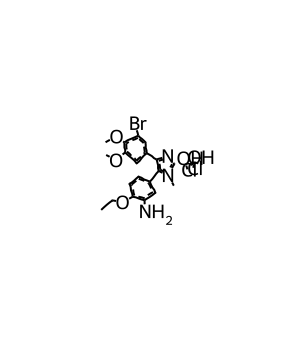 CCOc1ccc(-c2c(-c3cc(Br)c(OC)c(OC)c3)ncn2C)cc1N.OCl.OCl